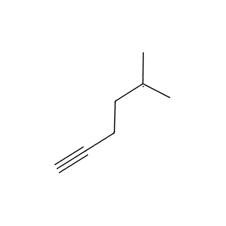 C#CCC[C](C)C